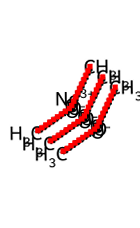 CCCCCCCCC=CCCCCCCCCOP(=O)([O-])CCCCCCCCC=CCCCCCCCC.CCCCCCCCC=CCCCCCCCCOP(=O)([O-])CCCCCCCCC=CCCCCCCCC.CCCCCCCCC=CCCCCCCCCOP(=O)([O-])CCCCCCCCC=CCCCCCCCC.[Nd+3]